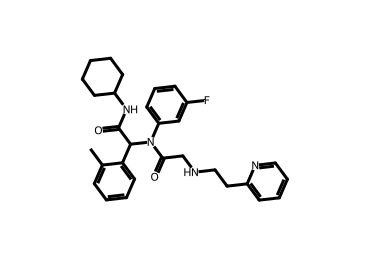 Cc1ccccc1C(C(=O)NC1CCCCC1)N(C(=O)CNCCc1ccccn1)c1cccc(F)c1